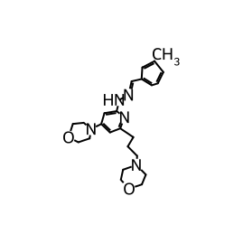 Cc1cccc(/C=N/Nc2cc(N3CCOCC3)cc(CCCN3CCOCC3)n2)c1